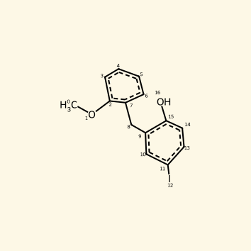 COc1ccccc1Cc1cc(I)ccc1O